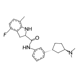 Cc1ccc(F)c2c1NC(C(=O)Nc1cccc([C@@H]3CC[C@@H](N(C)C)C3)c1)C2